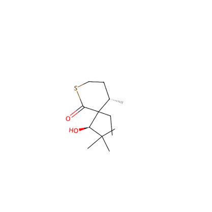 CCC1([C@H](O)C(C)(C)C)C(=O)SCC[C@@H]1C